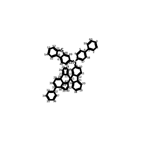 c1ccc(-c2ccc(N(c3ccc4c(c3)C3(c5ccccc5-4)c4ccccc4-c4ccc(-c5ccccc5)c5cccc3c45)c3ccc4c(c3)sc3ccccc34)cc2)cc1